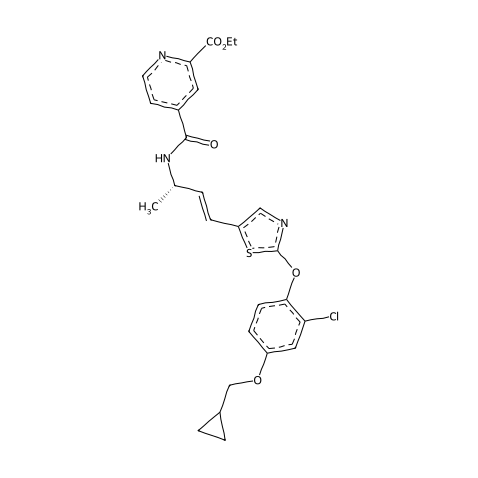 CCOC(=O)c1cc(C(=O)N[C@@H](C)/C=C/c2cnc(Oc3ccc(OCC4CC4)cc3Cl)s2)ccn1